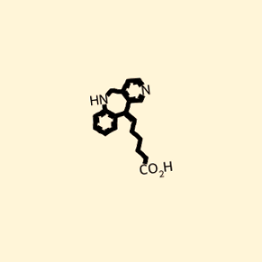 O=C(O)CCCCC=C1c2cnccc2CNc2ccccc21